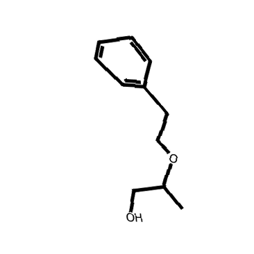 CC(CO)OCCc1ccccc1